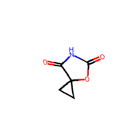 O=C1NC(=O)C2(CC2)O1